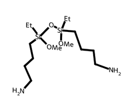 CC[Si](CCCCN)(OC)O[Si](CC)(CCCCN)OC